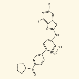 O=C(O)O.O=C(c1ccc(-c2ccc(Nc3nc4c(F)cc(F)cc4s3)cc2)cc1)C1CCCC1